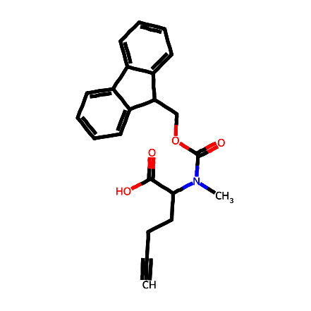 C#CCCC(C(=O)O)N(C)C(=O)OCC1c2ccccc2-c2ccccc21